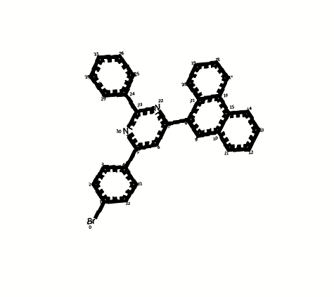 Brc1ccc(-c2cc(-c3cc4ccccc4c4ccccc34)nc(-c3ccccc3)n2)cc1